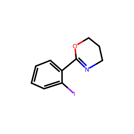 Ic1ccccc1C1=NCCCO1